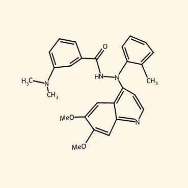 COc1cc2nccc(N(NC(=O)c3cccc(N(C)C)c3)c3ccccc3C)c2cc1OC